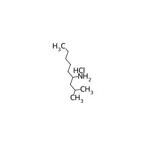 CCCCCC(N)CC(C)C.Cl